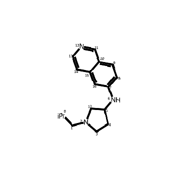 CC(C)CN1CCC(Nc2ccc3cnccc3c2)C1